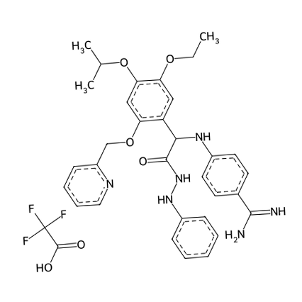 CCOc1cc(C(Nc2ccc(C(=N)N)cc2)C(=O)NNc2ccccc2)c(OCc2ccccn2)cc1OC(C)C.O=C(O)C(F)(F)F